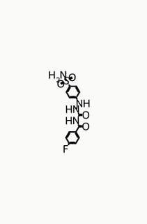 NS(=O)(=O)c1ccc(NNC(=O)NC(=O)c2ccc(F)cc2)cc1